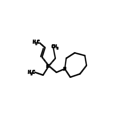 CC=C[Si](CC)(CC)CN1CCCCCC1